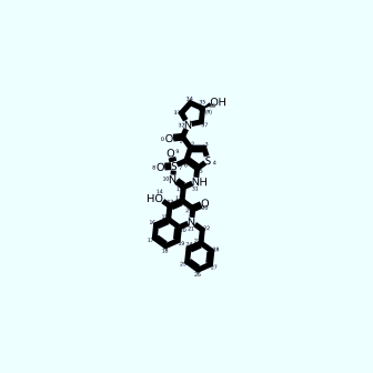 O=C(c1csc2c1S(=O)(=O)N=C(c1c(O)c3ccccc3n(Cc3ccccc3)c1=O)N2)N1CC[C@@H](O)C1